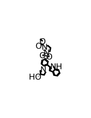 COC(=O)N1CCCN(S(=O)(=O)c2ccc(N3CC[C@H](O)C3)c(-c3cc4ccccc4[nH]3)c2)C1